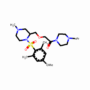 CCCN1CCN(C(=O)COCC2CN(C)CCN2S(=O)(=O)c2c(C)cc(OC)cc2C)CC1